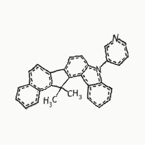 CC1(C)c2c(ccc3ccccc23)-c2ccc3c(c21)c1ccccc1n3-c1cccnc1